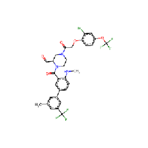 CNc1ccc(-c2cc(C)cc(C(F)(F)F)c2)cc1C(=O)N1CCN(C(=O)COc2ccc(OC(F)(F)F)cc2Br)CC1C=O